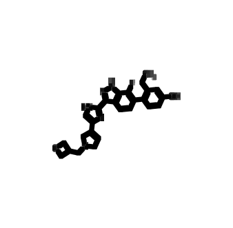 CCc1cc(O)ccc1-c1ccc2c(-c3nc(C4=CCN(CC5COC5)C4)c[nH]3)n[nH]c2c1F